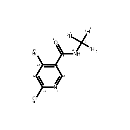 [2H]C([2H])([2H])NC(=O)c1cnc(Cl)cc1Br